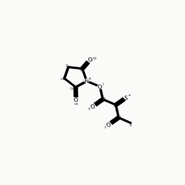 CC(=O)C(=S)C(=O)ON1C(=O)CCC1=O